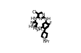 CCCN1CCC(c2cc(F)c(Nc3ncc(Cl)c(Nc4cc(C)[nH]n4)n3)cc2C)CC1